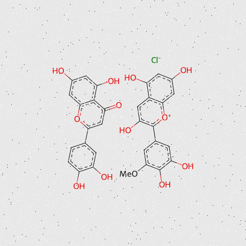 COc1cc(-c2[o+]c3cc(O)cc(O)c3cc2O)cc(O)c1O.O=c1cc(-c2ccc(O)c(O)c2)oc2cc(O)cc(O)c12.[Cl-]